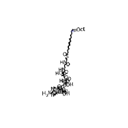 CCCCCCCC/C=C\CCCCCCCCCCCC(=O)SCCNC(=O)CCNC(=O)[C@H](O)C(C)(C)COP(=O)(O)OP(=O)(O)OC[C@H]1O[C@@H](n2cnc3c(N)ncnc32)[C@H](O)[C@@H]1OP(=O)(O)O